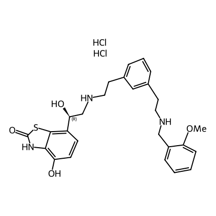 COc1ccccc1CNCCc1cccc(CCNC[C@H](O)c2ccc(O)c3[nH]c(=O)sc23)c1.Cl.Cl